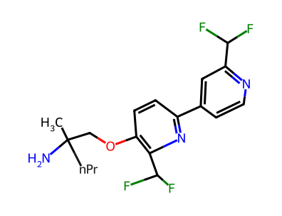 CCCC(C)(N)COc1ccc(-c2ccnc(C(F)F)c2)nc1C(F)F